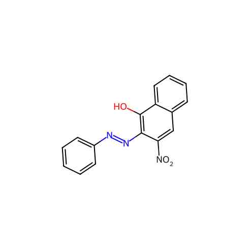 O=[N+]([O-])c1cc2ccccc2c(O)c1N=Nc1ccccc1